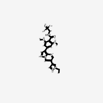 CCn1cc(-c2cnc3c(-c4cc(OC)c(C(=O)NCC(F)(F)F)c(OC)c4)cnn3c2)cn1